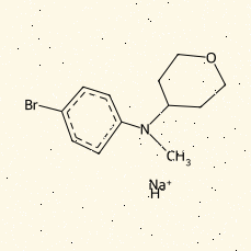 CN(c1ccc(Br)cc1)C1CCOCC1.[H-].[Na+]